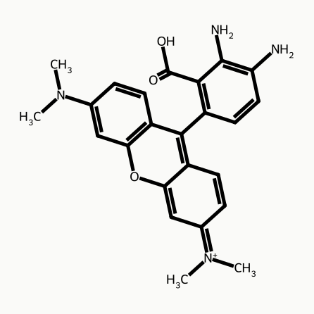 CN(C)c1ccc2c(-c3ccc(N)c(N)c3C(=O)O)c3ccc(=[N+](C)C)cc-3oc2c1